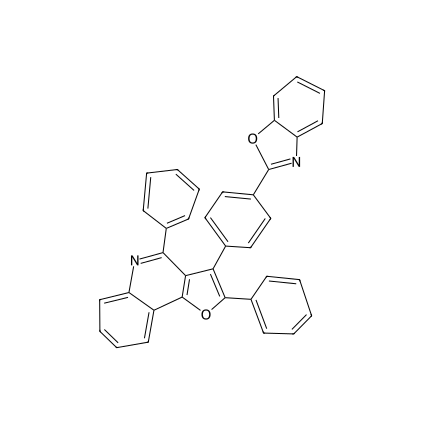 c1ccc(-c2oc3c(c(-c4ccccc4)nc4ccccc43)c2-c2ccc(-c3nc4ccccc4o3)cc2)cc1